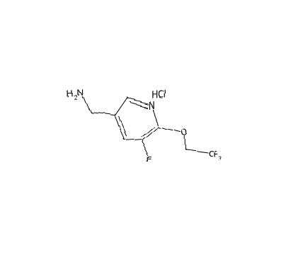 Cl.NCc1cnc(OCC(F)(F)F)c(F)c1